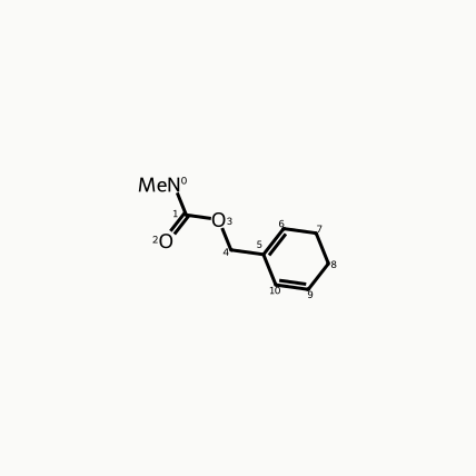 CNC(=O)OCC1=CCCC=C1